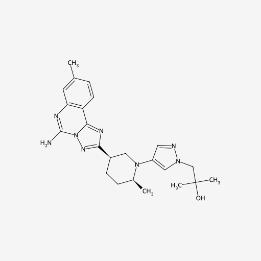 Cc1ccc2c(c1)nc(N)n1nc([C@@H]3CC[C@H](C)N(c4cnn(CC(C)(C)O)c4)C3)nc21